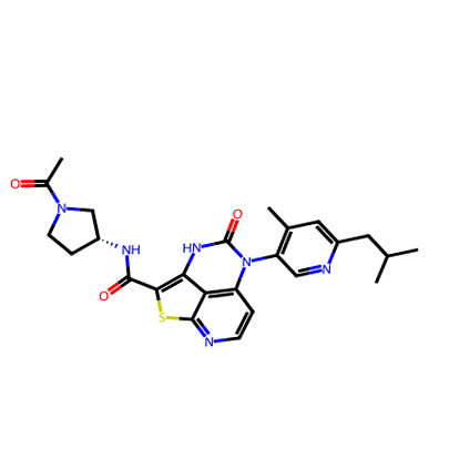 CC(=O)N1CC[C@@H](NC(=O)c2sc3nccc4c3c2NC(=O)N4c2cnc(CC(C)C)cc2C)C1